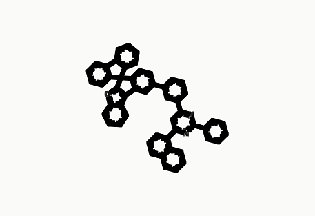 c1ccc(-c2nc(-c3cccc(-c4ccc5c(c4)-c4c(oc6ccccc46)C54c5ccccc5-c5ccccc54)c3)cc(-c3cccc4ccccc34)n2)cc1